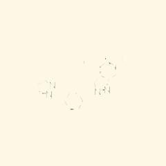 Clc1cc2nn(Cc3ccc(Cn4cccn4)cc3)cc2c(Cl)n1